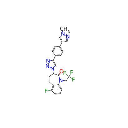 Cn1cc(-c2ccc(-c3cn(C4CCc5c(F)cccc5N(CC(F)(F)F)C4=O)nn3)cc2)cn1